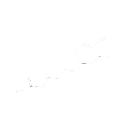 COC(=O)CCCCOc1ccc(C=O)c(O)c1